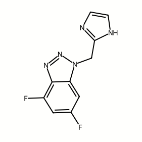 Fc1cc(F)c2nnn(Cc3ncc[nH]3)c2c1